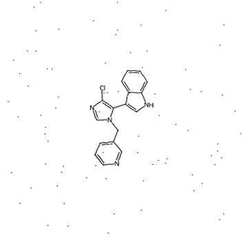 Clc1ncn(Cc2cccnc2)c1-c1c[nH]c2ccccc12